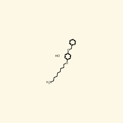 Cl.NCCCCCCCCOc1ccc(OCc2ccccc2)cc1